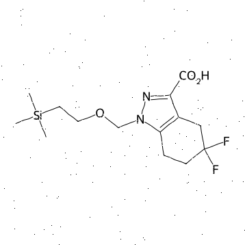 C[Si](C)(C)CCOCn1nc(C(=O)O)c2c1CCC(F)(F)C2